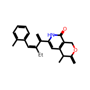 C=C(/C(=C\c1ccccc1C)CC)c1cc2c(c(=O)[nH]1)COC(=C)C2C